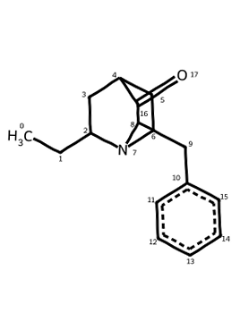 CCC1CC2CCN1C(Cc1ccccc1)C2=O